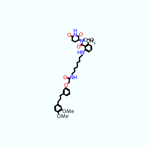 COc1ccc(CCCc2cccc(OCC(=O)NCCCCCCCCNc3cccc(C)c3C(=O)N(C=O)C3CCC(=O)NC3=O)c2)cc1OC